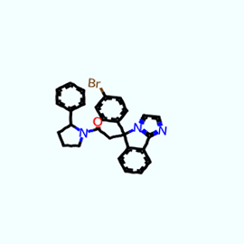 O=C(CC1(c2ccc(Br)cc2)c2ccccc2-c2nccn21)N1CCCC1c1ccccc1